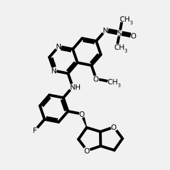 COc1cc(N=S(C)(C)=O)cc2ncnc(Nc3ccc(F)cc3O[C@@H]3COC4CCOC43)c12